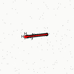 CCOCc1nc2c(NC(c3ccccc3)(c3ccccc3)c3ccccc3)nc3ccccc3c2n1CC(C)(C)OCCOCCOCCOCCOCCOCCOCCOCCOCCOCCOCCOCCOCCOCCOCCOCCOCCOCCOCCOCCOCCOCCOCCOCCOS(=O)(=O)[O-].[Na+]